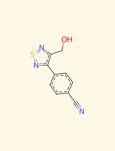 N#Cc1ccc(-c2nsnc2CO)cc1